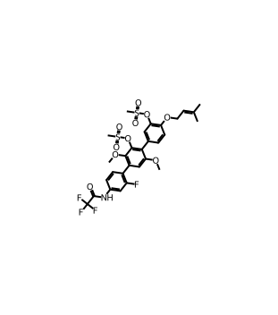 COc1cc(-c2ccc(NC(=O)C(F)(F)F)cc2F)c(OC)c(OS(C)(=O)=O)c1-c1ccc(OCC=C(C)C)c(OS(C)(=O)=O)c1